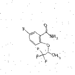 CC(Oc1ccc(F)cc1C(N)=O)C(F)(F)F